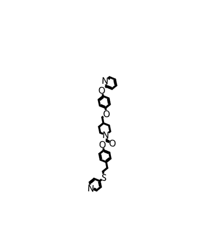 O=C(Oc1ccc(CCSc2ccncc2)cc1)N1CCC(COc2ccc(Oc3ccccn3)cc2)CC1